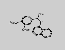 C[CH]CCC(Oc1cccc2ccccc12)c1ccc(OC)c(OC)c1